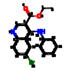 CCOC(=O)c1cnc2ccc(Br)cc2c1Nc1ccccc1